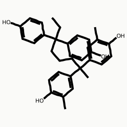 CCC(CCCC(C)(c1ccc(O)c(C)c1)c1ccc(O)c(C)c1)(c1ccc(O)cc1)c1ccc(O)cc1